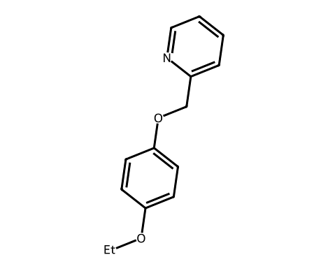 CCOc1ccc(OCc2ccccn2)cc1